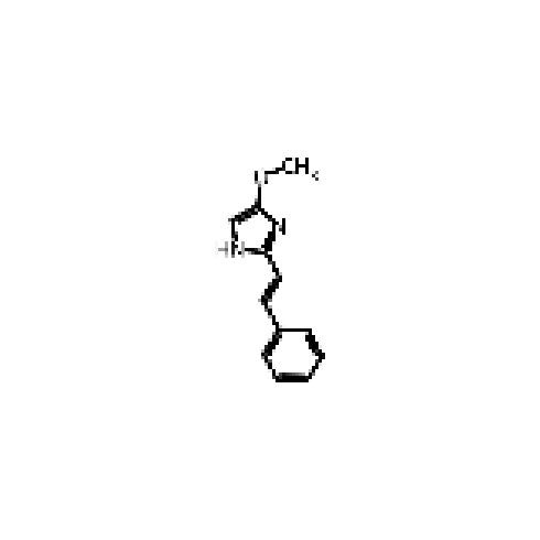 COc1c[nH]c(C=Cc2ccccc2)n1